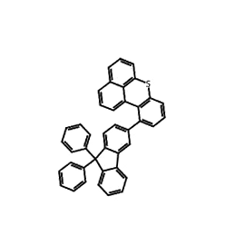 c1ccc(C2(c3ccccc3)c3ccccc3-c3cc(-c4cccc5c4-c4cccc6cccc(c46)S5)ccc32)cc1